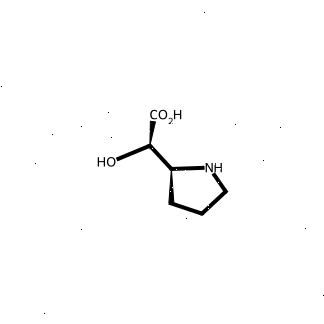 O=C(O)[C@H](O)[C@@H]1CCCN1